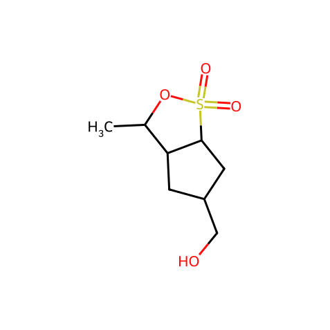 CC1OS(=O)(=O)C2CC(CO)CC12